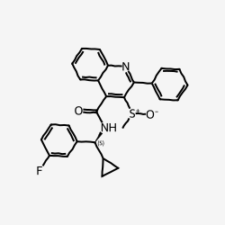 C[S+]([O-])c1c(-c2ccccc2)nc2ccccc2c1C(=O)N[C@H](c1cccc(F)c1)C1CC1